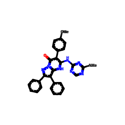 CNc1ncnc(Nc2[nH]c3c(-c4ccccc4)c(-c4ccccc4)nn3c(=O)c2-c2ccc(OC)cc2)n1